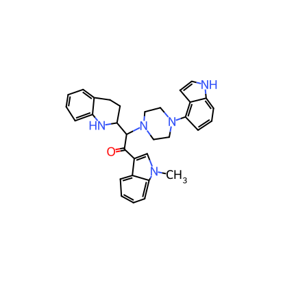 Cn1cc(C(=O)C(C2CCc3ccccc3N2)N2CCN(c3cccc4[nH]ccc34)CC2)c2ccccc21